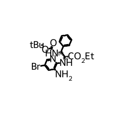 CCOC(=O)[C@@H](Nc1ncc(Br)cc1N)[C@H](NC(=O)OC(C)(C)C)c1ccccc1